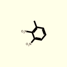 Cc1[c]ccc([N+](=O)[O-])c1[N+](=O)[O-]